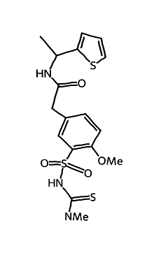 CNC(=S)NS(=O)(=O)c1cc(CC(=O)NC(C)c2cccs2)ccc1OC